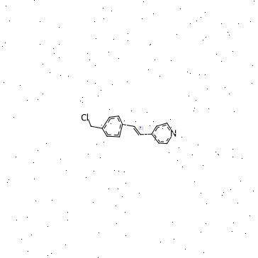 ClCc1ccc(/C=C/c2ccncc2)cc1